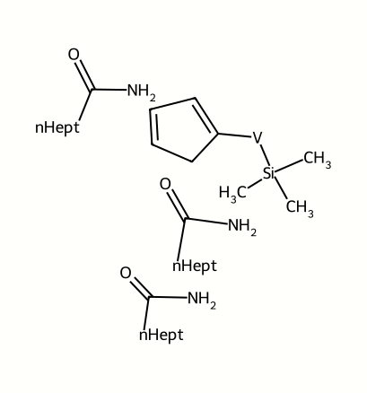 CCCCCCCC(N)=O.CCCCCCCC(N)=O.CCCCCCCC(N)=O.C[Si](C)(C)[V][C]1=CC=CC1